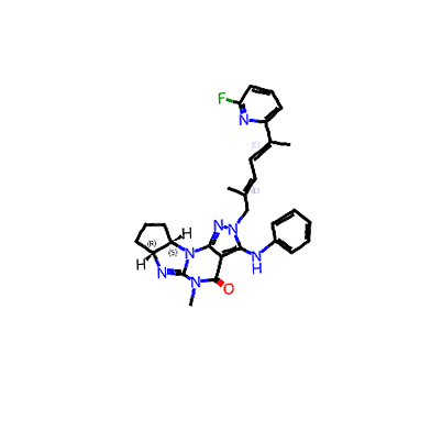 C/C(=C\C=C(/C)c1cccc(F)n1)Cn1nc2c(c1Nc1ccccc1)C(=O)N(C)C1=N[C@@H]3CCC[C@@H]3N12